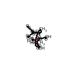 Cc1ccc2c(c1)C(C)(CCP(=O)(CCCCC(=O)O)OCCCOC=O)C(C=CC=CC=C1Nc3ccc(S(=O)(=O)O)cc3C1(C)CCP(=O)(OCCCC(=O)O)OCCCC(=O)O)=N2